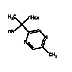 CCCCCCC(C)(CCC)c1cnc(C)cn1